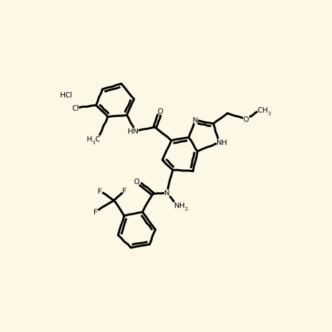 COCc1nc2c(C(=O)Nc3cccc(Cl)c3C)cc(N(N)C(=O)c3ccccc3C(F)(F)F)cc2[nH]1.Cl